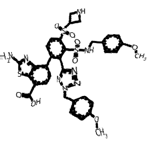 COc1ccc(CNS(=O)(=O)c2c(S(=O)(=O)C3CNC3)ccc(-c3ccc(C(=O)O)c4sc(N)nc34)c2-c2nnn(Cc3ccc(OC)cc3)n2)cc1